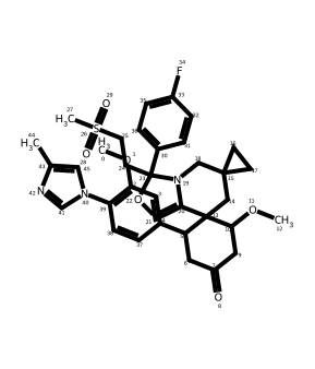 COc1cc(C2CC(=O)CC(OC)C23CC2(CC2)CN2C3=NOC2(CCS(C)(=O)=O)c2ccc(F)cc2)ccc1-n1cnc(C)c1